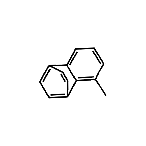 Cc1[c]ccc2c3ccc(cc3)c12